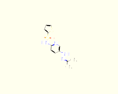 N#CC(C#N)=NNc1ccc(NS(=O)(=O)c2cccs2)nc1